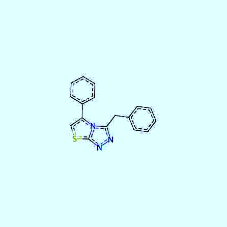 c1ccc(Cc2nnc3scc(-c4ccccc4)n23)cc1